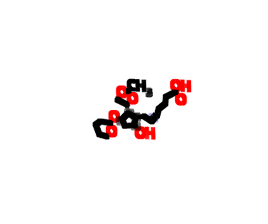 CC1OCC([C@@H]2[C@@H](C/C=C\CCCC(=O)O)[C@@H](O)C[C@H]2OC2CCCCO2)O1